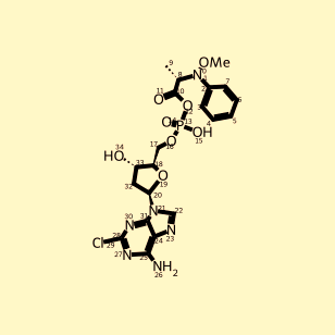 CON(c1ccccc1)[C@@H](C)C(=O)OP(=O)(O)OC[C@H]1O[C@@H](n2cnc3c(N)nc(Cl)nc32)C[C@@H]1O